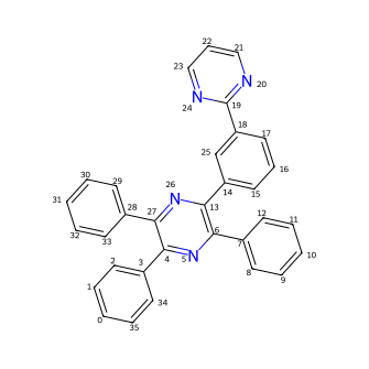 c1ccc(-c2nc(-c3ccccc3)c(-c3cccc(-c4ncccn4)c3)nc2-c2ccccc2)cc1